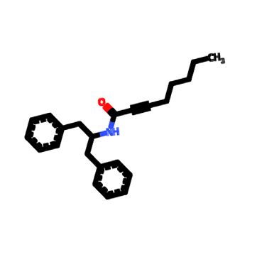 CCCCCC#CC(=O)NC(Cc1ccccc1)Cc1ccccc1